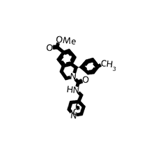 COC(=O)c1ccc2c(c1)CCN(C(=O)NCC13CCN(CC1)CC3)[C@H]2c1ccc(C)cc1